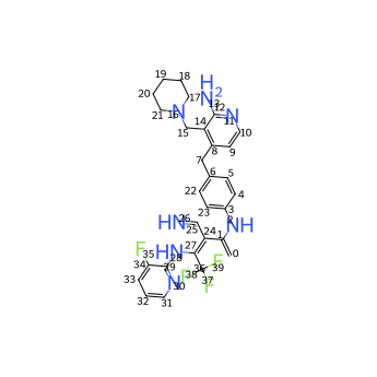 C=C(Nc1ccc(Cc2ccnc(N)c2CN2CCCCC2)cc1)/C(C=N)=C(/Nc1ncccc1F)C(F)(F)F